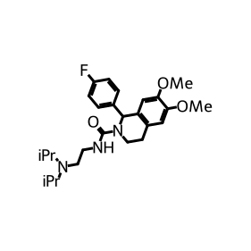 COc1cc2c(cc1OC)C(c1ccc(F)cc1)N(C(=O)NCCN(C(C)C)C(C)C)CC2